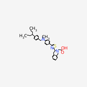 CCCC(CCC)c1ccc(CN(C)c2ccc(-c3csc(C4Cc5ccccc5CN4CC(=O)O)n3)cc2)cc1